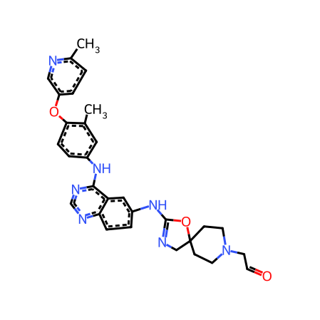 Cc1ccc(Oc2ccc(Nc3ncnc4ccc(NC5=NCC6(CCN(CC=O)CC6)O5)cc34)cc2C)cn1